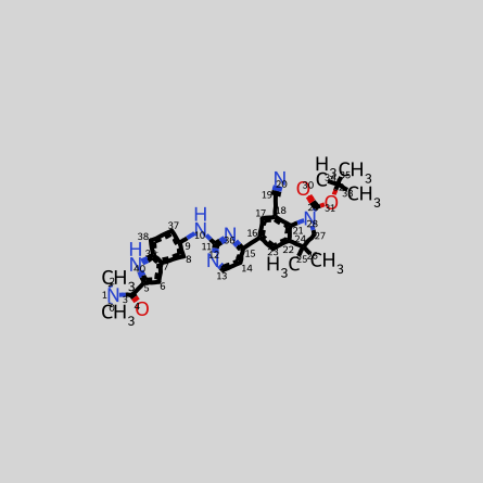 CN(C)C(=O)c1cc2cc(Nc3nccc(-c4cc(C#N)c5c(c4)C(C)(C)CN5C(=O)OC(C)(C)C)n3)ccc2[nH]1